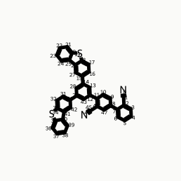 N#Cc1ccccc1-c1ccc(-c2cc(-c3ccc4sc5ccccc5c4c3)cc(-c3ccc4sc5ccccc5c4c3)c2)c(C#N)c1